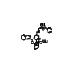 CC(COCc1ccc(C2CC3CCC(C2OCc2ccc4ccccc4c2)N3OC(=O)OC(C)(C)C)cc1)OCc1ccccc1